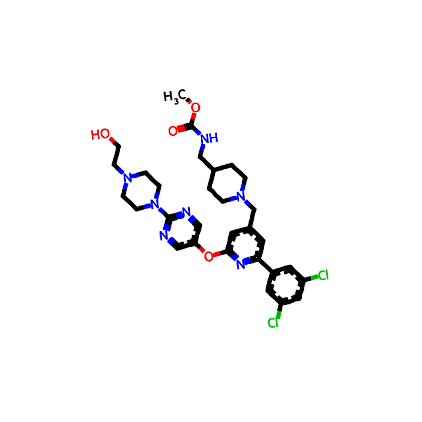 COC(=O)NCC1CCN(Cc2cc(Oc3cnc(N4CCN(CCO)CC4)nc3)nc(-c3cc(Cl)cc(Cl)c3)c2)CC1